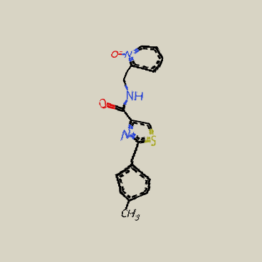 Cc1ccc(-c2nc(C(=O)NCc3cccc[n+]3[O-])cs2)cc1